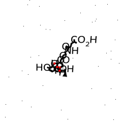 CC(CCC(=O)NCCOC(=O)OC1=CC[C@@]2(O)[C@H]3Cc4ccc(O)c5c4[C@@]2(CCN3CC2CC2)[C@H]1O5)C(=O)O